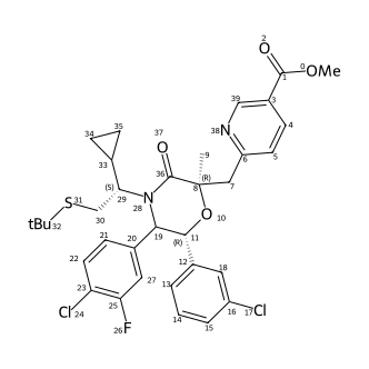 COC(=O)c1ccc(C[C@@]2(C)O[C@H](c3cccc(Cl)c3)C(c3ccc(Cl)c(F)c3)N([C@H](CSC(C)(C)C)C3CC3)C2=O)nc1